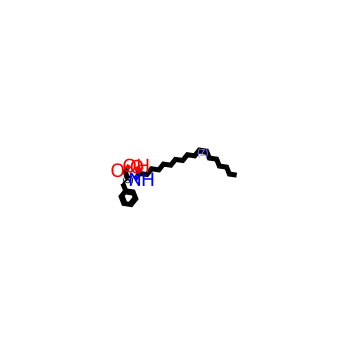 CCCCCC/C=C\CCCCCCCCCC(=O)N[C@@H](Cc1ccccc1)C(=O)O